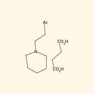 CC(=O)CCN1CCCCC1.O=C(O)CCC(=O)O